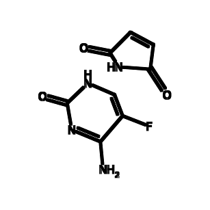 Nc1nc(=O)[nH]cc1F.O=C1C=CC(=O)N1